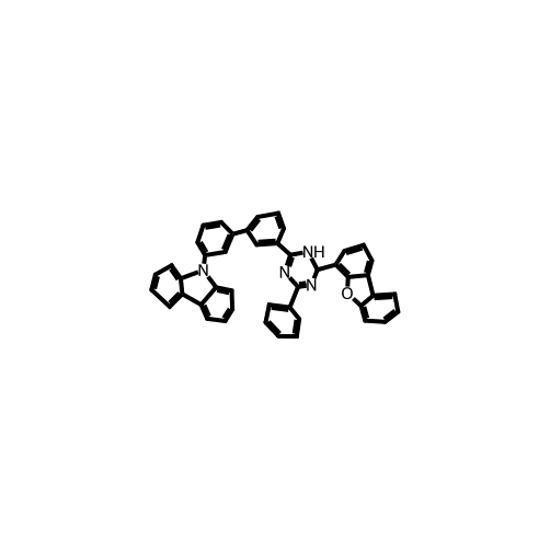 c1ccc(C2=NC(c3cccc4c3oc3ccccc34)NC(c3cccc(-c4cccc(-n5c6ccccc6c6ccccc65)c4)c3)=N2)cc1